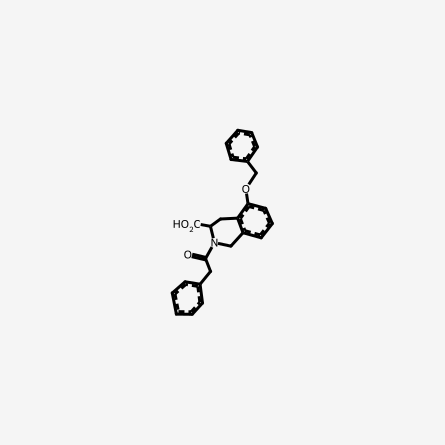 O=C(O)C1Cc2c(cccc2OCc2ccccc2)CN1C(=O)Cc1ccccc1